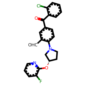 O=Cc1cc(C(=O)c2ccccc2Cl)ccc1N1CC[C@H](Oc2ncccc2F)C1